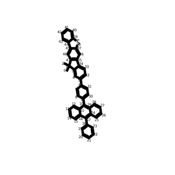 CC1(C)c2cc(-c3ccc(-c4c5ccccc5c(-c5ccccc5)c5ccccc45)cc3)ccc2-c2cc3sc4ccccc4c3cc21